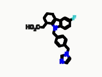 O=C(O)CC1CCCc2c1n(Cc1ccc(Cn3ccnc3)cc1)c1ccc(F)cc21